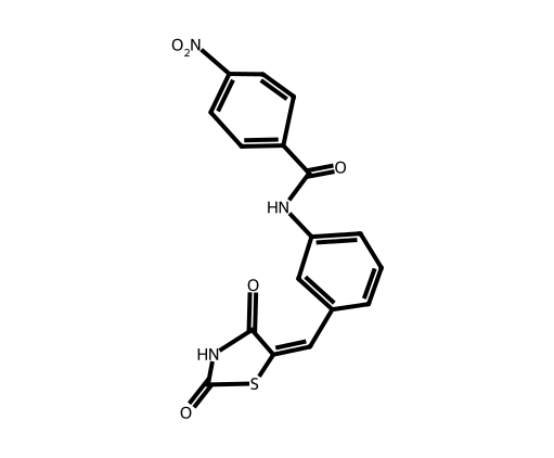 O=C1NC(=O)/C(=C\c2cccc(NC(=O)c3ccc([N+](=O)[O-])cc3)c2)S1